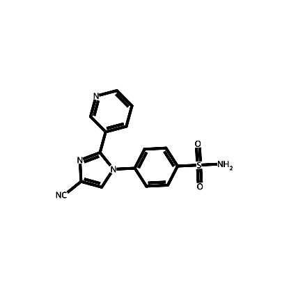 N#Cc1cn(-c2ccc(S(N)(=O)=O)cc2)c(-c2cccnc2)n1